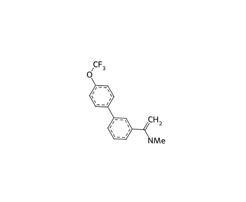 C=C(NC)c1cccc(-c2ccc(OC(F)(F)F)cc2)c1